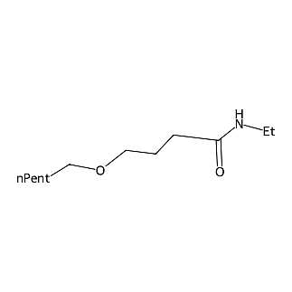 CCCCCCOCCCC(=O)NCC